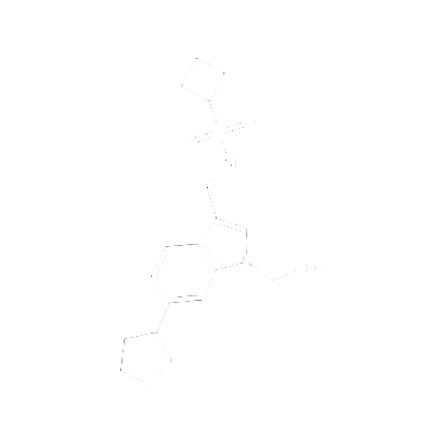 CC(C)(C)Cn1cc(CNS(=O)(=O)C2CCC2)c2ccc(C3CCCC3)cc21